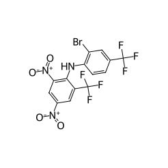 O=[N+]([O-])c1cc([N+](=O)[O-])c(Nc2ccc(C(F)(F)F)cc2Br)c(C(F)(F)F)c1